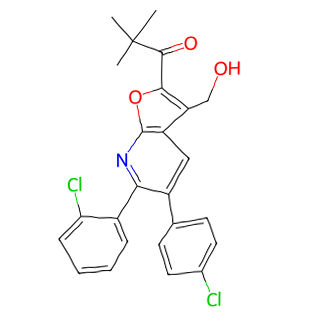 CC(C)(C)C(=O)c1oc2nc(-c3ccccc3Cl)c(-c3ccc(Cl)cc3)cc2c1CO